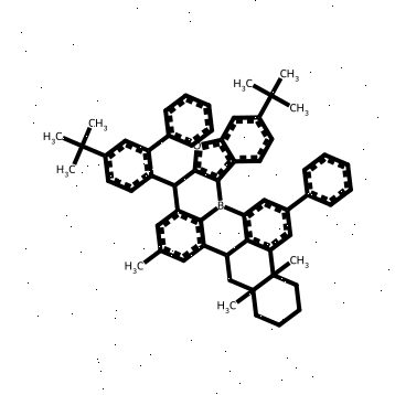 Cc1cc2c3c(c1)C(c1ccc(C(C)(C)C)cc1-c1ccccc1)c1oc4cc(C(C)(C)C)ccc4c1B3c1cc(-c3ccccc3)cc3c1C2CC1(C)CCCCC31C